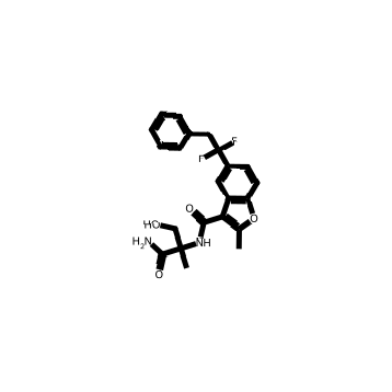 Cc1oc2ccc(C(F)(F)Cc3ccccc3)cc2c1C(=O)NC(C)(CO)C(N)=O